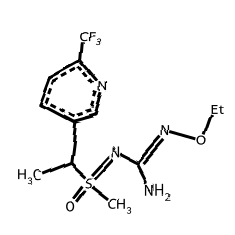 CCO/N=C(\N)N=S(C)(=O)C(C)c1ccc(C(F)(F)F)nc1